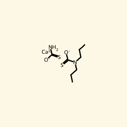 CCCN(CCC)C([O-])=S.NC([O-])=S.[Ca+2]